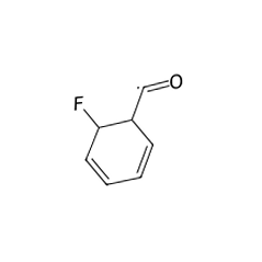 O=[C]C1C=CC=CC1F